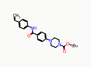 C=Cc1ccc(NC(=O)c2ccc(N3CCN(C(=O)OC(C)(C)C)CC3)cc2)cc1